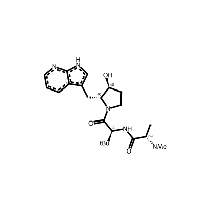 CN[C@@H](C)C(=O)N[C@H](C(=O)N1CC[C@H](O)[C@H]1Cc1c[nH]c2ncccc12)C(C)(C)C